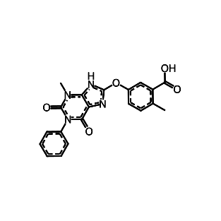 Cc1ccc(Oc2nc3c(=O)n(-c4ccccc4)c(=O)n(C)c3[nH]2)cc1C(=O)O